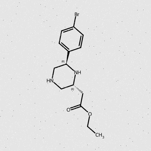 CCOC(=O)C[C@@H]1CNC[C@@H](c2ccc(Br)cc2)N1